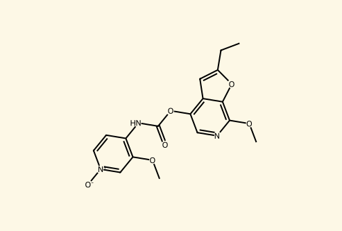 CCc1cc2c(OC(=O)Nc3cc[n+]([O-])cc3OC)cnc(OC)c2o1